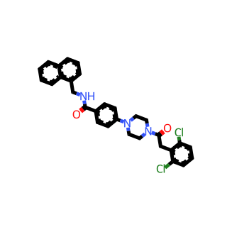 O=C(NCc1cccc2ccccc12)c1ccc(N2CCN(C(=O)Cc3c(Cl)cccc3Cl)CC2)cc1